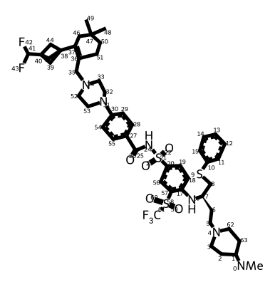 CNC1CCN(CC[C@H](CSc2ccccc2)Nc2ccc(S(=O)(=O)NC(=O)c3ccc(N4CCN(CC5=C(C67CC(C(F)F)(C6)C7)CC(C)(C)CC5)CC4)cc3)cc2S(=O)(=O)C(F)(F)F)CC1